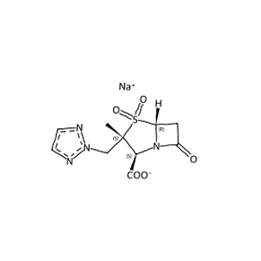 C[C@]1(Cn2nccn2)[C@H](C(=O)[O-])N2C(=O)C[C@H]2S1(=O)=O.[Na+]